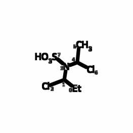 CCC(Cl)N(C(C)Cl)S(=O)(=O)O